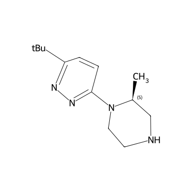 C[C@H]1CNCCN1c1ccc(C(C)(C)C)nn1